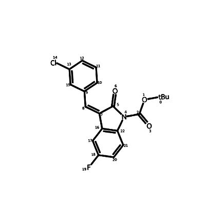 CC(C)(C)OC(=O)N1C(=O)C(=Cc2cccc(Cl)c2)c2cc(F)ccc21